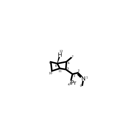 C/N=C\C(C(C)C)C1C(C)[C@H]2CCC12